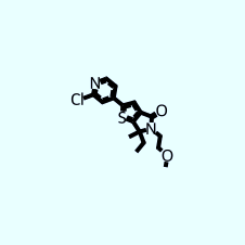 CCC1(C)c2sc(-c3ccnc(Cl)c3)cc2C(=O)N1CCOC